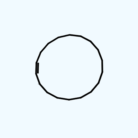 [CH]1/C=C\CCCCCCCCCCCCCCC1